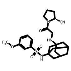 N#C[C@@H]1CCCN1C(=O)CNC12CC3CC(C1)CC(NS(=O)(=O)c1cccc(OC(F)(F)F)c1)(C3)C2